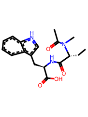 CC[C@H](C(=O)N[C@H](Cc1c[nH]c2ccccc12)C(=O)O)N(C)C(C)=O